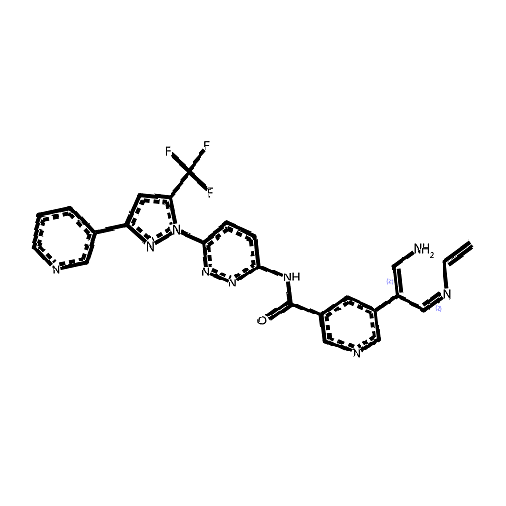 C=C/N=C\C(=C/N)c1cncc(C(=O)Nc2ccc(-n3nc(-c4cccnc4)cc3C(F)(F)F)nn2)c1